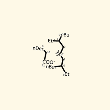 CCCCC(CC)[CH2][Sn+][CH2]C(CC)CCCC.CCCCCCCCCCCC(=O)[O-]